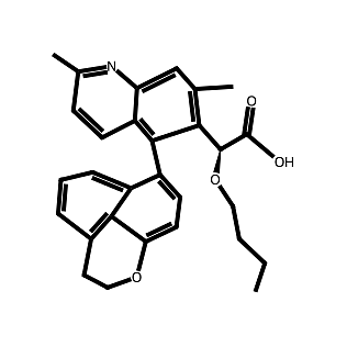 CCCCO[C@H](C(=O)O)c1c(C)cc2nc(C)ccc2c1-c1ccc2c3c(cccc13)CCO2